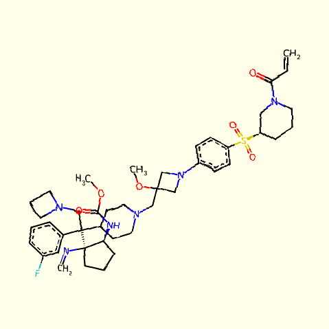 C=CC(=O)N1CCC[C@@H](S(=O)(=O)c2ccc(N3CC(CN4CCC(C(CN5CCC5)(c5cccc(F)c5)[C@@]5(N=C)CCC[C@@H]5NC(=O)OC)CC4)(OC)C3)cc2)C1